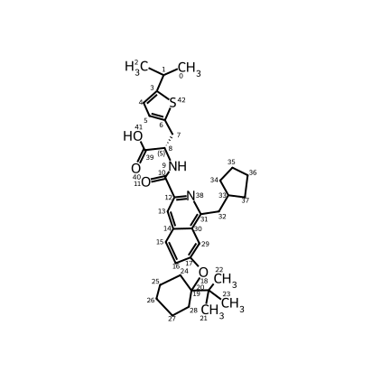 CC(C)c1ccc(C[C@H](NC(=O)c2cc3ccc(OC4(C(C)(C)C)CCCCC4)cc3c(CC3CCCC3)n2)C(=O)O)s1